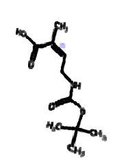 C/C(=C/CNC(=O)OC(C)(C)C)C(=O)O